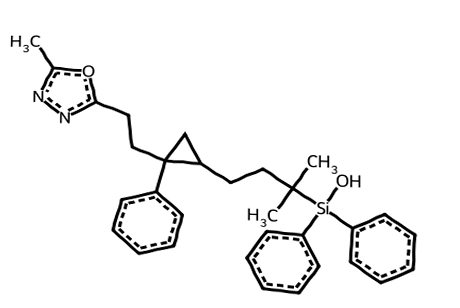 Cc1nnc(CCC2(c3ccccc3)CC2CCC(C)(C)[Si](O)(c2ccccc2)c2ccccc2)o1